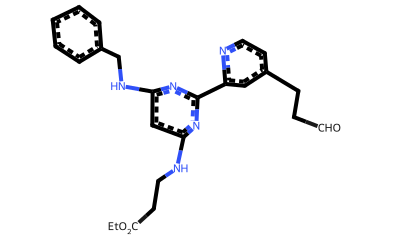 CCOC(=O)CCNc1cc(NCc2ccccc2)nc(-c2cc(CCC=O)ccn2)n1